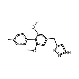 COc1cc(Cc2c[nH]nn2)cc(OC)c1-c1ccc(C)cc1